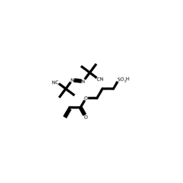 C=CC(=O)OCCCS(=O)(=O)O.CC(C)(C#N)N=NC(C)(C)C#N